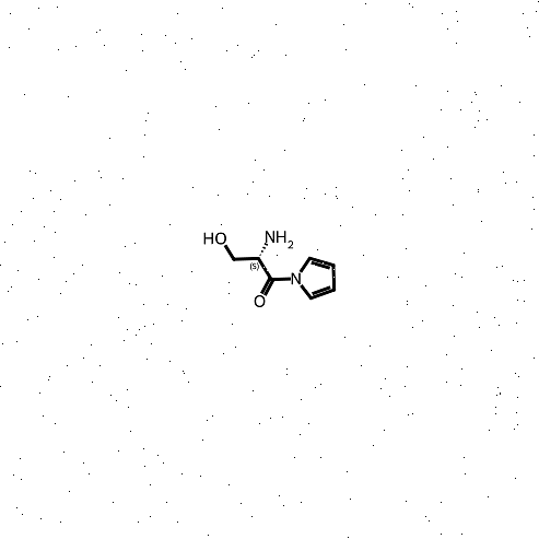 N[C@@H](CO)C(=O)n1cccc1